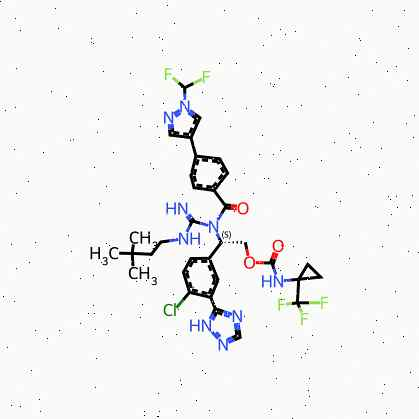 CC(C)(C)CCNC(=N)N(C(=O)c1ccc(-c2cnn(C(F)F)c2)cc1)[C@H](COC(=O)NC1(C(F)(F)F)CC1)c1ccc(Cl)c(-c2ncn[nH]2)c1